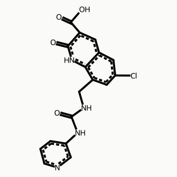 O=C(NCc1cc(Cl)cc2cc(C(=O)O)c(=O)[nH]c12)Nc1cccnc1